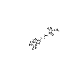 CN(N)C(=O)OCCCCC[C@@H]1SC[C@@H]2NC(=O)N[C@@H]21